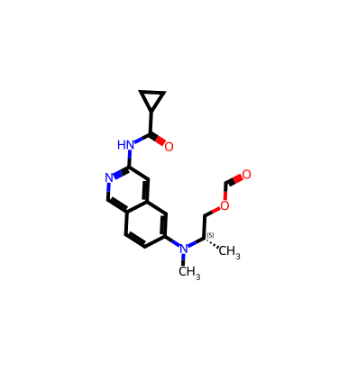 C[C@@H](COC=O)N(C)c1ccc2cnc(NC(=O)C3CC3)cc2c1